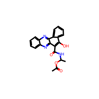 CC(=O)OC(C)NC(=O)c1c(O)c2ccccc2c2nc3ccccc3nc12